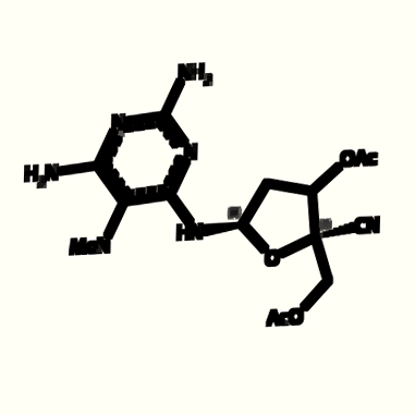 CNc1c(N)nc(N)nc1N[C@H]1CC(OC(C)=O)[C@@](C#N)(COC(C)=O)O1